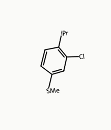 CSc1ccc(C(C)C)c(Cl)c1